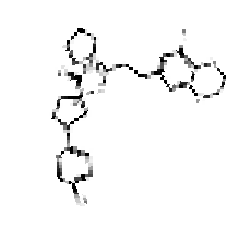 NC(=O)[C@]1(OC(CCc2cc(F)c3c(c2)OCCO3)N2CCCC2)CCN(c2ccc(Cl)cc2)C1